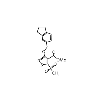 COC(=O)c1c(OCc2ccc3c(c2)CCC3)nsc1S(C)(=O)=O